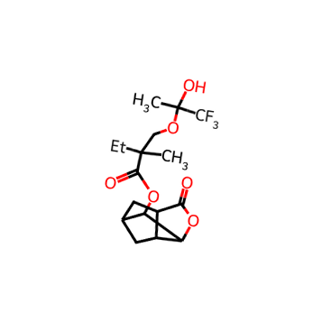 CCC(C)(COC(C)(O)C(F)(F)F)C(=O)OC1C2CC3C(=O)OC1C3C2